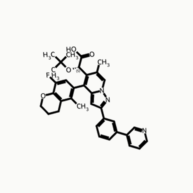 Cc1cn2nc(-c3cccc(-c4cccnc4)c3)cc2c(-c2cc(F)c3c(c2C)CCCO3)c1[C@H](OC(C)(C)C)C(=O)O